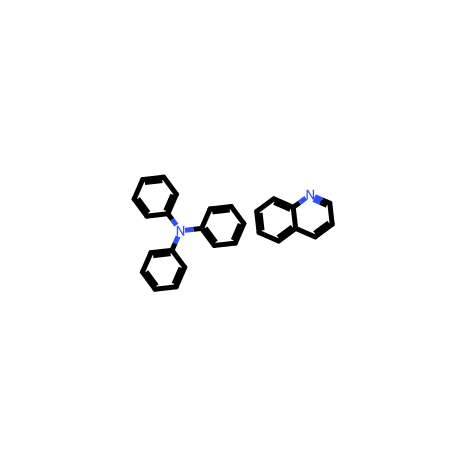 c1ccc(N(c2ccccc2)c2ccccc2)cc1.c1ccc2ncccc2c1